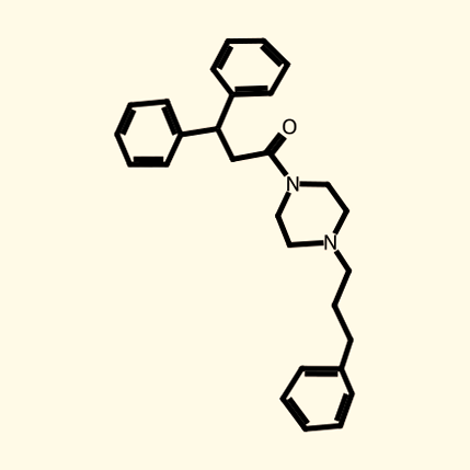 O=C(CC(c1ccccc1)c1ccccc1)N1CCN(CCCc2ccccc2)CC1